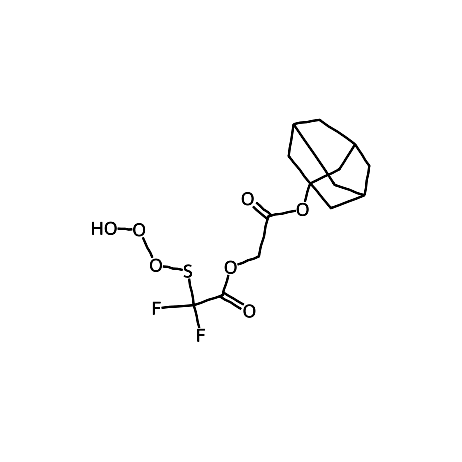 O=C(COC(=O)C(F)(F)SOOO)OC12CC3CC(CC(C3)C1)C2